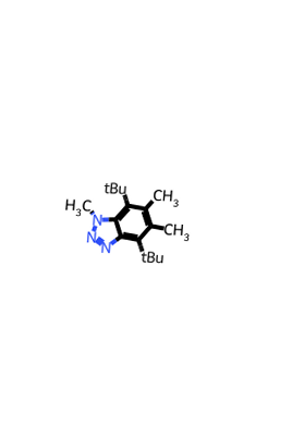 Cc1c(C)c(C(C)(C)C)c2c(nnn2C)c1C(C)(C)C